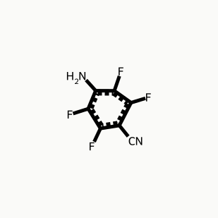 N#Cc1c(F)c(F)c(N)c(F)c1F